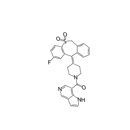 O=C(c1cncc2cc[nH]c12)N1CCC(=C2c3ccccc3CS(=O)(=O)c3ccc(F)cc32)CC1